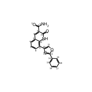 NC(=O)c1cc2cccc(-c3coc(-c4ccccc4)n3)c2[nH]c1=O